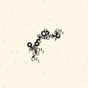 CCCOC(=O)[C@H](C)NP(=O)(Cc1ccc2sc(C(=O)N[C@H]3CCC[C@H]4CC[C@@H](C(=O)N5CC(c6c(F)ccnc6OC)C5)N4C3=O)cc2c1)Oc1ccccc1